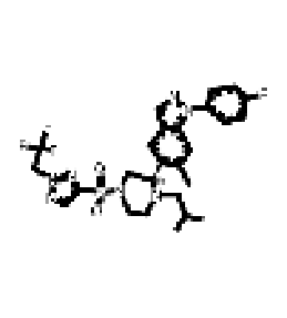 Cc1cc2c(cnn2-c2ccc(F)cc2)cc1[C@@H]1CN(S(=O)(=O)c2cnn(CC(F)(F)F)n2)CCN1CC(C)C